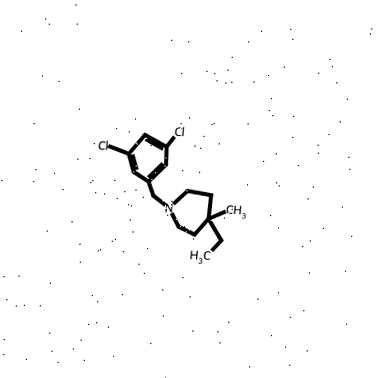 CCC1(C)CCN(Cc2cc(Cl)cc(Cl)c2)CC1